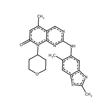 Cc1nc2cc(Nc3ncc4c(C)cc(=O)n(C5CCOCC5)c4n3)c(C)cc2s1